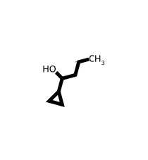 C[CH]CC(O)C1CC1